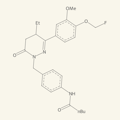 CCCCC(=O)Nc1ccc(CN2N=C(c3ccc(OCF)c(OC)c3)C(CC)CC2=O)cc1